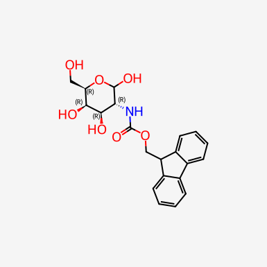 O=C(N[C@H]1C(O)O[C@H](CO)[C@H](O)[C@@H]1O)OCC1c2ccccc2-c2ccccc21